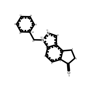 O=C1CCc2c1ccc1c2cnn1Cc1ccccc1